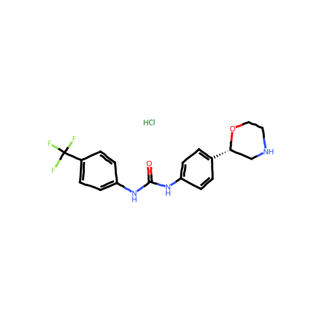 Cl.O=C(Nc1ccc([C@H]2CNCCO2)cc1)Nc1ccc(C(F)(F)F)cc1